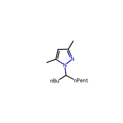 CCCCCC(CCCC)n1nc(C)cc1C